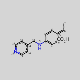 C\C=C(/C=C\C(=C/C)C(=O)O)NCc1ccncc1